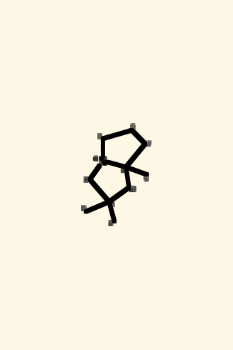 CC1(C)CN2CCCC2(C)C1